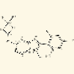 Cc1cc(Cl)cc(O)c1-c1nc2nc(OC3CC(F)(F)C3)ccc2n1C